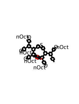 CCCCCCCCOc1ccc(-c2cc(-c3ccc(C)cc3)cc(-c3cc(-c4cc(-c5ccc(C)cc5)cc(-c5ccc(OCCCCCCCC)cc5)c4)cc(-c4ccc5sc6ccc(-c7cc(-c8cc(-c9ccc(C)cc9)cc(-c9ccc(OCCCCCCCC)cc9)c8)cc(-c8cc(-c9ccc(OCCCCCCCC)cc9)cc(-c9ccc(OCCCCCCCC)cc9)c8)c7)cc6c5c4)c3)c2)cc1